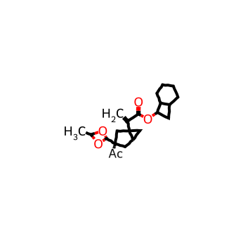 C=C(C(=O)OC1CC2CCCCC21)C12CC1CC(C(C)=O)(C1OC(C)O1)C2